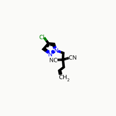 C=CCC(C#N)(C#N)Cn1cc(Cl)cn1